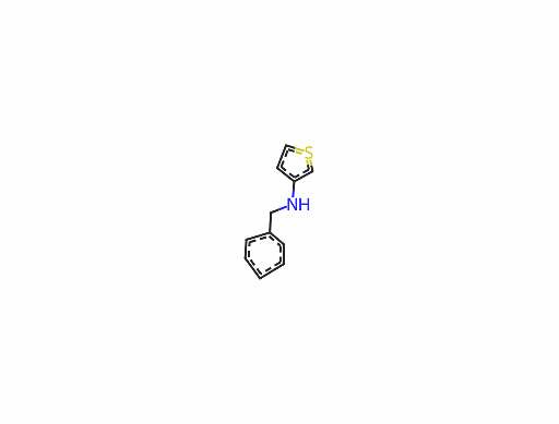 c1ccc(CNc2ccsc2)cc1